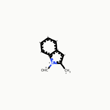 Cc1cc2ccccc2n1C=O